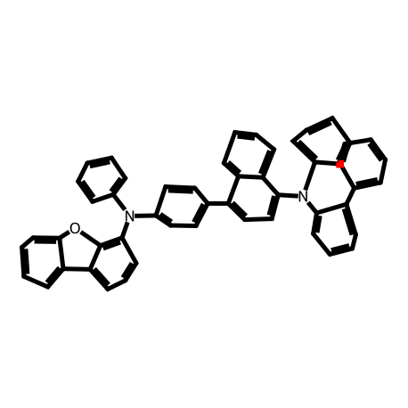 c1ccc(-c2ccccc2N(c2ccccc2)c2ccc(-c3ccc(N(c4ccccc4)c4cccc5c4oc4ccccc45)cc3)c3ccccc23)cc1